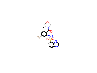 CC1COCCN1C(=O)c1ccc(Br)cc1NS(=O)(=O)c1cccc2nccnc12